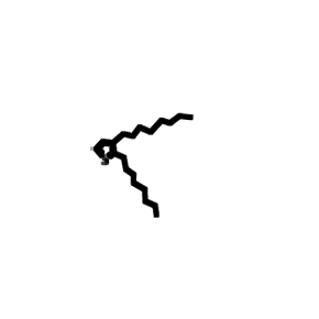 CCCCCCCCc1c[c]sc1CCCCCCCC